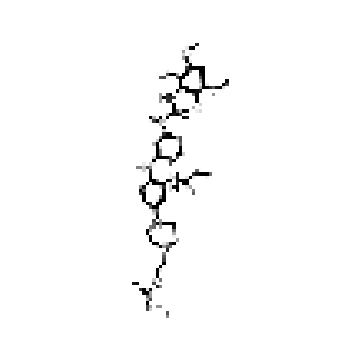 C=CC(=O)Nc1cc(N2CCN(CCOC(N)=O)CC2)ccc1Nc1cc(N(C)C(=O)Nc2c(Cl)c(OC)cc(OC)c2Cl)ncn1